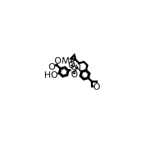 COC(=O)c1cc(S(=O)(=O)N2c3ccc(C4COC4)cc3CCC2C2CC2)ccc1O